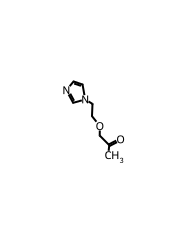 CC(=O)COCCn1ccnc1